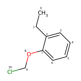 CCc1ccccc1OCCl